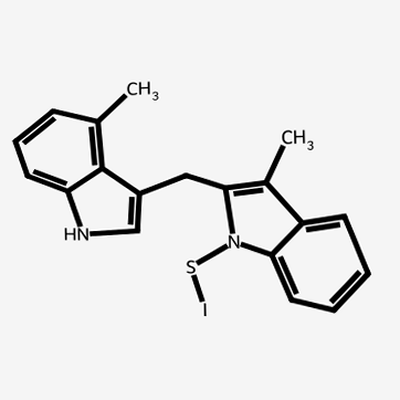 Cc1c(Cc2c[nH]c3cccc(C)c23)n(SI)c2ccccc12